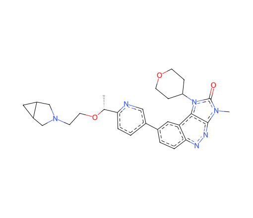 C[C@@H](OCCN1CC2CC2C1)c1ccc(-c2ccc3nnc4c(c3c2)n(C2CCOCC2)c(=O)n4C)cn1